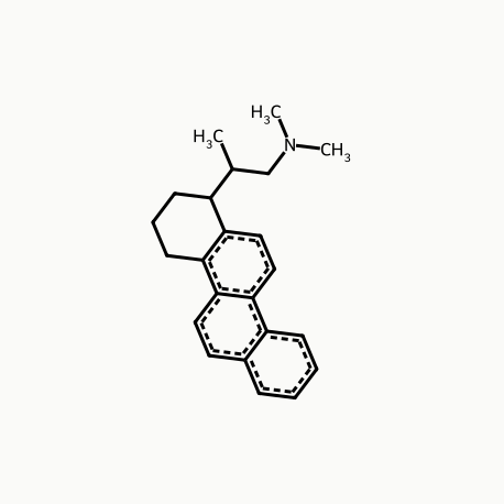 CC(CN(C)C)C1CCCc2c1ccc1c2ccc2ccccc21